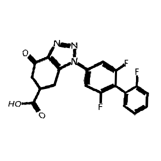 O=C1CC(C(=O)O)Cc2c1nnn2-c1cc(F)c(-c2ccccc2F)c(F)c1